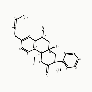 CC[C@@]12CC(=O)[C@](O)(c3ccccc3)C[C@H]1CC(=O)c1cc(OB=NP)ccc12